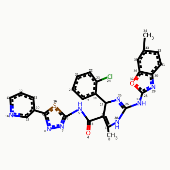 CC1=C(C(=O)Nc2nnc(-c3cccnc3)s2)C(c2ccccc2Cl)N=C(Nc2nc3ccc(C)cc3o2)N1